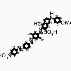 COc1ccc(Nc2ccc3c(O)c(N=Nc4cc(C)c(N=Nc5ccc(N=Nc6ccc(S(=O)(=O)O)cc6)cc5)cc4C)c(S(=O)(=O)O)cc3c2)cc1